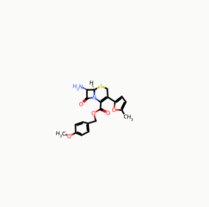 COc1ccc(COC(=O)C2=C(c3ccc(C)o3)CS[C@@H]3[C@H](N)C(=O)N23)cc1